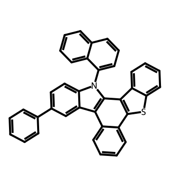 c1ccc(-c2ccc3c(c2)c2c4ccccc4c4sc5ccccc5c4c2n3-c2cccc3ccccc23)cc1